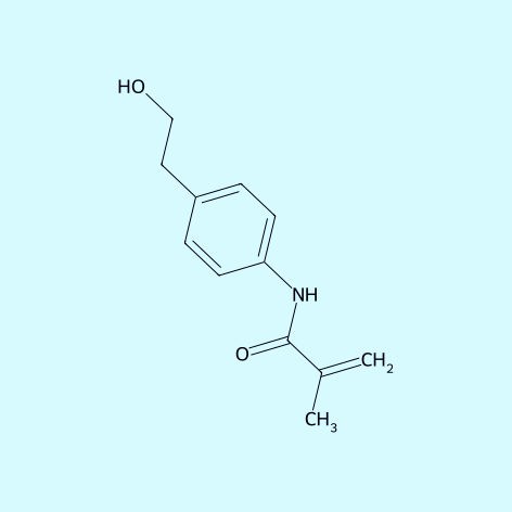 C=C(C)C(=O)Nc1ccc(CCO)cc1